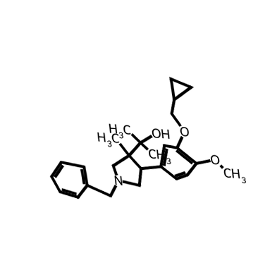 COc1ccc(C2CN(Cc3ccccc3)CC2(C)C(C)(C)O)cc1OCC1CC1